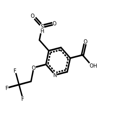 O=C(O)c1cnc(OCC(F)(F)F)c(C[SH](=O)=O)c1